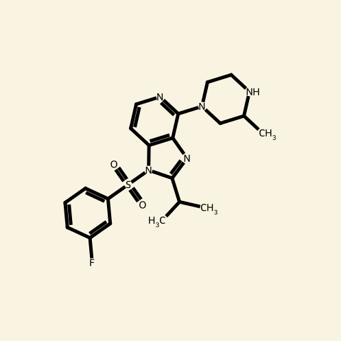 CC1CN(c2nccc3c2nc(C(C)C)n3S(=O)(=O)c2cccc(F)c2)CCN1